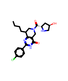 CCCCC1CN(C(=O)[C@@H]2C[C@@H](O)CN2)Cc2c1nc(-c1ccc(Cl)cc1)[nH]c2=O